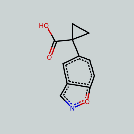 O=C(O)C1(c2ccc3oncc3c2)CC1